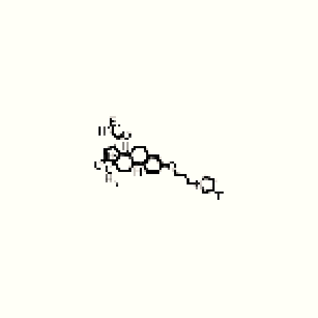 CCNC(=O)[C@H]1CC(=O)[C@@]2(C)CC[C@@H]3c4ccc(OCCCN5CC[C@@H](F)C5)cc4CC[C@H]3[C@H]12